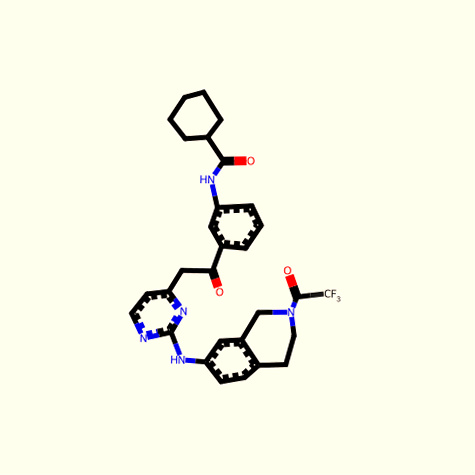 O=C(Cc1ccnc(Nc2ccc3c(c2)CN(C(=O)C(F)(F)F)CC3)n1)c1cccc(NC(=O)C2CCCCC2)c1